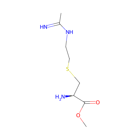 COC(=O)[C@@H](N)CSCCNC(C)=N